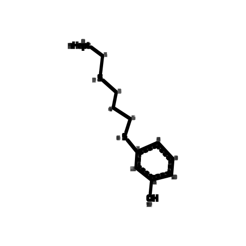 CCCCCCCCSCCCSc1cccc(O)c1